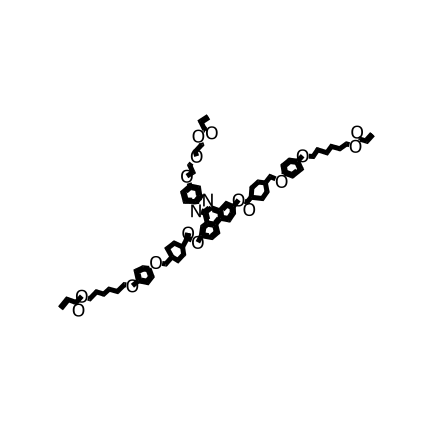 C=CC(=O)OCCCCCCOc1ccc(OCC2CCC(C(=O)Oc3ccc4c5ccc(OC(=O)C6CCC(COc7ccc(OCCCCCCOC(=O)C=C)cc7)CC6)cc5c5nc6cc(OCCOCCOC(=O)C=C)ccc6nc5c4c3)CC2)cc1